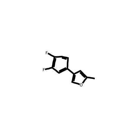 Cc1cc(-c2ccc(F)c(F)c2)co1